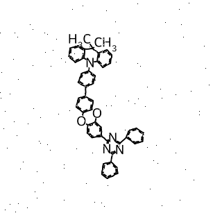 CC1(C)c2ccccc2N(c2ccc(-c3ccc4c(c3)Oc3cc(-c5nc(-c6ccccc6)nc(-c6ccccc6)n5)ccc3O4)cc2)c2ccccc21